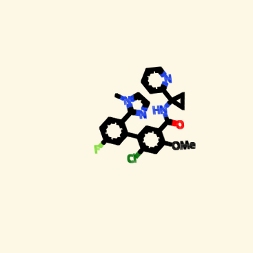 COc1cc(Cl)c(-c2cc(F)ccc2-c2nccn2C)cc1C(=O)NC1(c2ccccn2)CC1